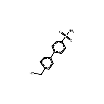 NS(=O)(=O)c1ccc(-c2ccc(CO)cc2)cc1